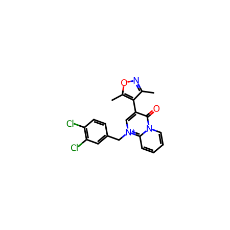 Cc1noc(C)c1-c1c[n+](Cc2ccc(Cl)c(Cl)c2)c2ccccn2c1=O